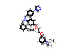 COc1cccc(CN(Cc2ccc(-n3ccnc3)cc2)c2ccc(COCCOc3cccc(N(C)C)c3)cc2)c1